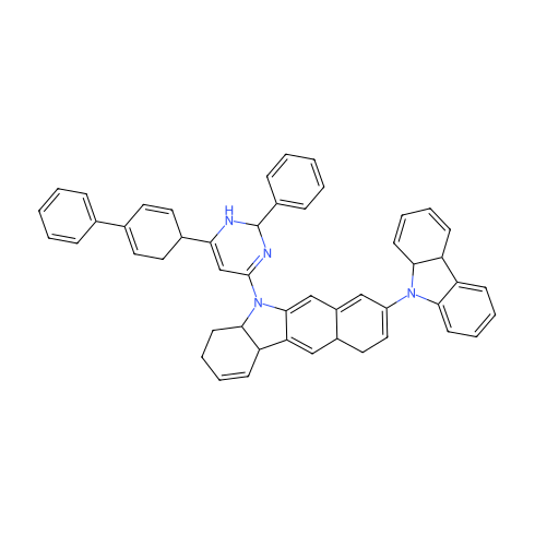 C1=CC2c3ccccc3N(C3=CCC4C=C5C(=CC4=C3)N(C3=NC(c4ccccc4)NC(C4C=CC(c6ccccc6)=CC4)=C3)C3CCC=CC53)C2C=C1